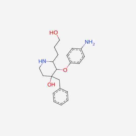 Nc1ccc(OC2C(CCCO)NCCC2(O)Cc2ccccc2)cc1